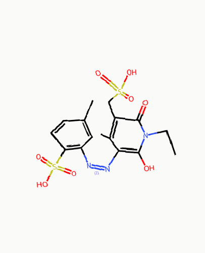 CCn1c(O)c(/N=N\c2cc(C)ccc2S(=O)(=O)O)c(C)c(CS(=O)(=O)O)c1=O